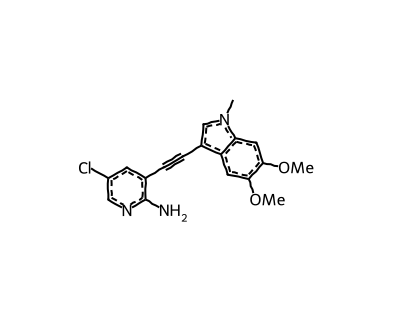 COc1cc2c(C#Cc3cc(Cl)cnc3N)cn(C)c2cc1OC